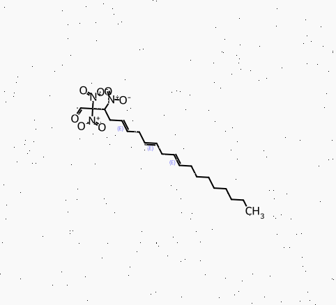 CCCCCCCC/C=C/C/C=C/C/C=C/CC([N+](=O)[O-])C([C]=O)([N+](=O)[O-])[N+](=O)[O-]